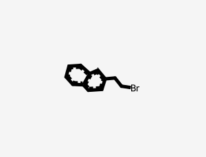 BrCCc1[c]c2ccccc2cc1